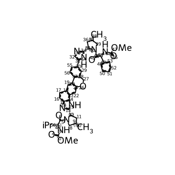 COC(=O)N[C@H](C(=O)N1C[C@@H](C)C[C@H]1c1nc2ccc3cc4c(cc3c2[nH]1)OCc1cc(-c2cnc([C@@H]3C[C@H](C)CN3C(=O)[C@H](NC(=O)OC)c3ccccc3)[nH]2)ccc1-4)C(C)C